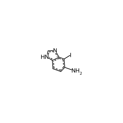 Nc1ccc2[nH]cnc2c1I